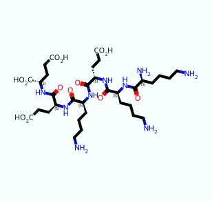 NCCCC[C@H](NC(=O)[C@H](CCC(=O)O)NC(=O)[C@H](CCCCN)NC(=O)[C@@H](N)CCCCN)C(=O)N[C@@H](CCC(=O)O)C(=O)N[C@@H](CCC(=O)O)C(=O)O